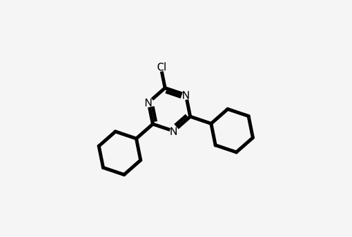 Clc1nc(C2CCCCC2)nc(C2CCCCC2)n1